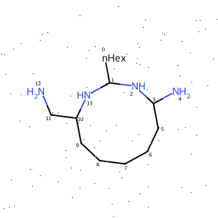 CCCCCCC1NC(N)CCCCCC(CN)N1